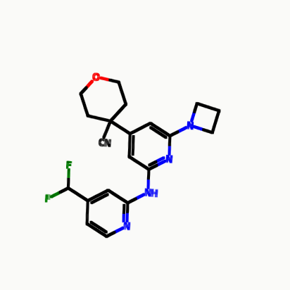 N#CC1(c2cc(Nc3cc(C(F)F)ccn3)nc(N3CCC3)c2)CCOCC1